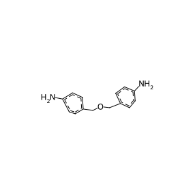 Nc1ccc(COCc2ccc(N)cc2)cc1